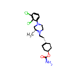 C[C@@H]1CN(c2cccc(Cl)c2Cl)CCN1CC[C@H]1CC[C@H](OC(N)=O)CC1